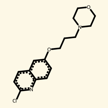 Clc1ccc2cc(OCCCN3CCOCC3)ccc2n1